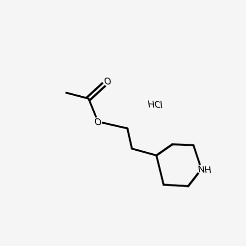 CC(=O)OCCC1CCNCC1.Cl